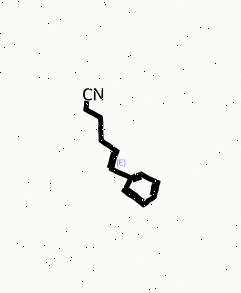 N#CCCC/C=C/c1ccccc1